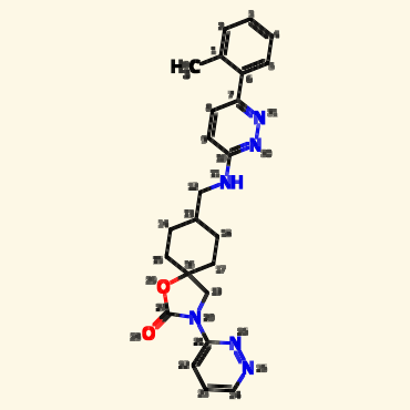 Cc1ccccc1-c1ccc(NCC2CCC3(CC2)CN(c2cccnn2)C(=O)O3)nn1